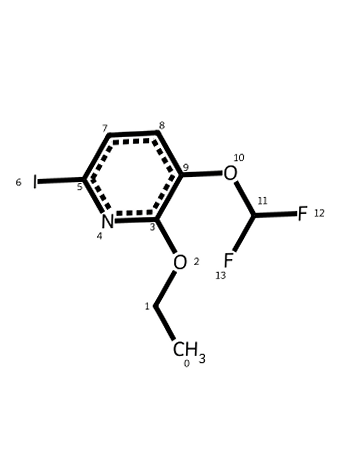 CCOc1nc(I)ccc1OC(F)F